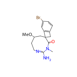 COC1CC/N=C(/N)N(C)C(=O)C2(Cc3ccc(Br)cc32)C1